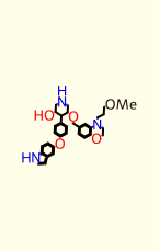 COCCCN1CCOc2ccc(COC3CNCC(O)C3c3ccc(Oc4ccc5[nH]ccc5c4)cc3)cc21